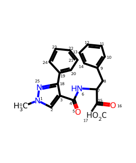 Cn1cc(C(=O)NC(Cc2ccccc2)C(=O)C(=O)O)c(-c2ccccc2)n1